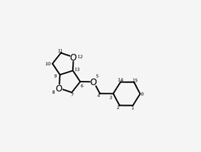 C1CCC(COC2COC3CCOC32)CC1